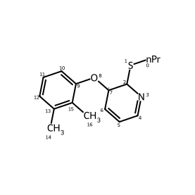 CCCSC1N=CC=C[C]1Oc1cccc(C)c1C